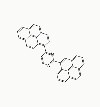 c1cc2ccc3ccc(-c4ccnc(-c5cc6cccc7ccc8cccc5c8c76)n4)c4ccc(c1)c2c34